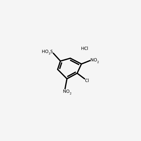 Cl.O=[N+]([O-])c1cc(S(=O)(=O)O)cc([N+](=O)[O-])c1Cl